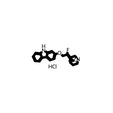 Cl.F/C(COc1ccc2c(c1)[nH]c1ccccc12)=C1\CN2CCC1CC2